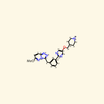 COc1ccc2nnc(Cc3cccc(-c4ncc(OCC5CCN(C)CC5)cn4)c3)n2n1